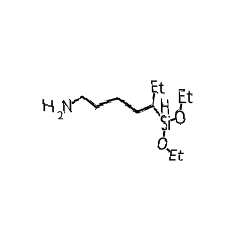 CCO[SiH](OCC)C(CC)CCCCN